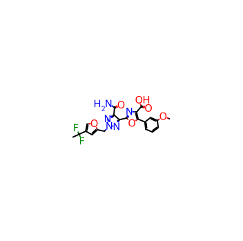 COc1cccc(-c2oc(-c3nn(Cc4cc(C(C)(F)F)co4)nc3C(N)=O)nc2C(=O)O)c1